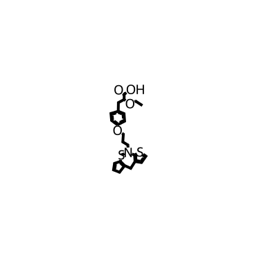 CCOC(Cc1ccc(OCCCN2SC3=C(CC=C3)Cc3ccsc32)cc1)C(=O)O